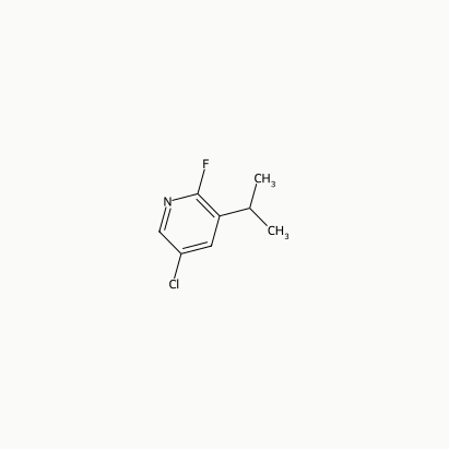 CC(C)c1cc(Cl)cnc1F